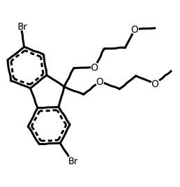 COCCOCC1(COCCOC)c2cc(Br)ccc2-c2ccc(Br)cc21